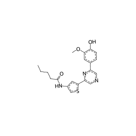 CCCCC(=O)Nc1csc(-c2cncc(-c3ccc(O)c(OC)c3)n2)c1